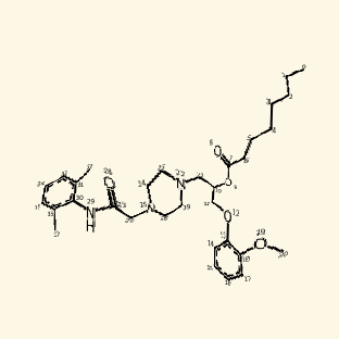 CCCCCCCC(=O)OC(COc1ccccc1OC)CN1CCN(CC(=O)Nc2c(C)cccc2C)CC1